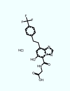 Cl.O=C(O)CNC(=O)c1c(O)cc(CCc2ccc(C(F)(F)F)cc2)c2ncnn12